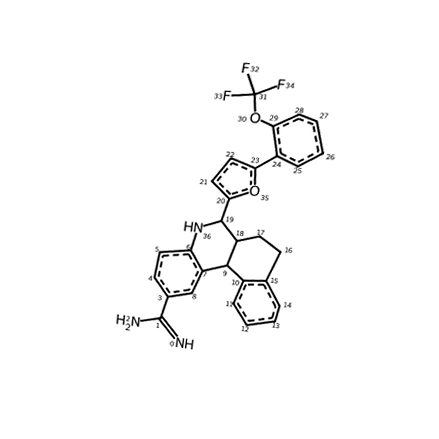 N=C(N)c1ccc2c(c1)C1c3ccccc3CCC1C(c1ccc(-c3ccccc3OC(F)(F)F)o1)N2